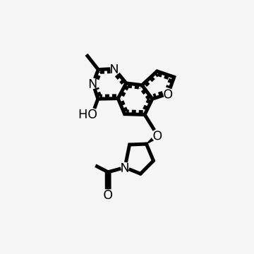 CC(=O)N1CC[C@H](Oc2cc3c(O)nc(C)nc3c3ccoc23)C1